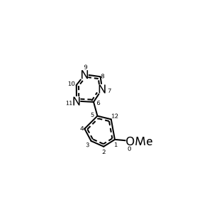 COc1cccc(-c2ncncn2)c1